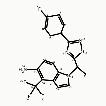 CC(c1nc(C2C=CC(F)=CC2)no1)n1ccc2c(C(F)(F)F)c(N)ccc21